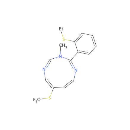 CCSc1ccccc1-c1nccc(SC(F)(F)F)cncn1C